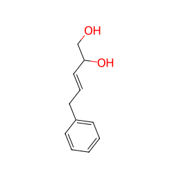 OCC(O)C=CCc1ccccc1